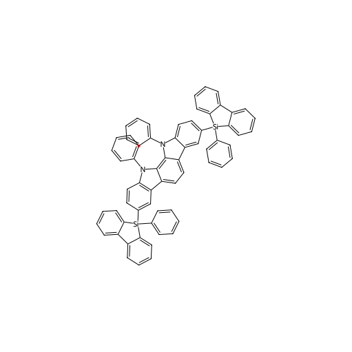 c1ccc(-n2c3ccc([Si]4(c5ccccc5)c5ccccc5-c5ccccc54)cc3c3ccc4c5cc([Si]6(c7ccccc7)c7ccccc7-c7ccccc76)ccc5n(-c5ccccc5)c4c32)cc1